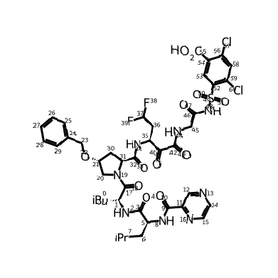 CC[C@@H](C)[C@H](NC(=O)[C@H](CC(C)C)NC(=O)c1cnccn1)C(=O)N1C[C@H](OCc2ccccc2)C[C@H]1C(=O)N[C@@H](CC(F)F)C(=O)C(=O)NCC(=O)NS(=O)(=O)c1cc(C(=O)O)c(Cl)cc1Cl